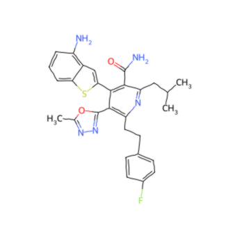 Cc1nnc(-c2c(CCc3ccc(F)cc3)nc(CC(C)C)c(C(N)=O)c2-c2cc3c(N)cccc3s2)o1